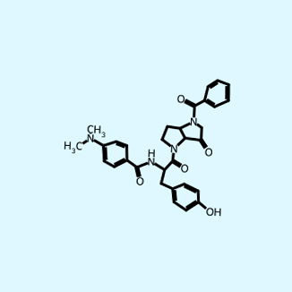 CN(C)c1ccc(C(=O)NC(Cc2ccc(O)cc2)C(=O)N2CCC3C2C(=O)CN3C(=O)c2ccccc2)cc1